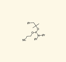 CC(C)CC(C)(C)OP(OCCC#N)N(C(C)C)C(C)C